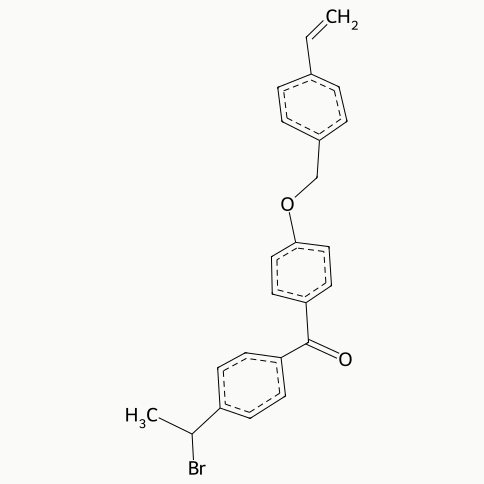 C=Cc1ccc(COc2ccc(C(=O)c3ccc(C(C)Br)cc3)cc2)cc1